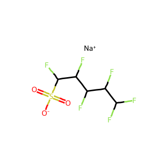 O=S(=O)([O-])C(F)C(F)C(F)C(F)C(F)F.[Na+]